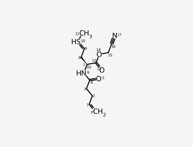 C=CCCC(=O)N[C@@H](CC=[SH]C)C(=O)OCC#N